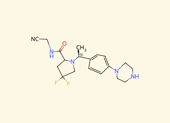 C[C@@H](c1ccc(N2CCNCC2)cc1)N1CC(F)(F)CC1C(=O)NCC#N